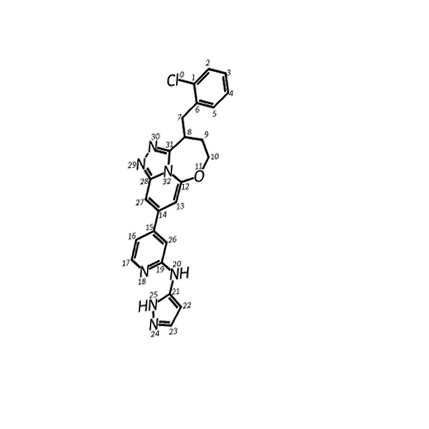 Clc1ccccc1CC1CCOc2cc(-c3ccnc(Nc4ccn[nH]4)c3)cc3nnc1n23